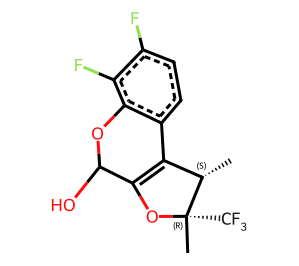 C[C@H]1C2=C(O[C@@]1(C)C(F)(F)F)C(O)Oc1c2ccc(F)c1F